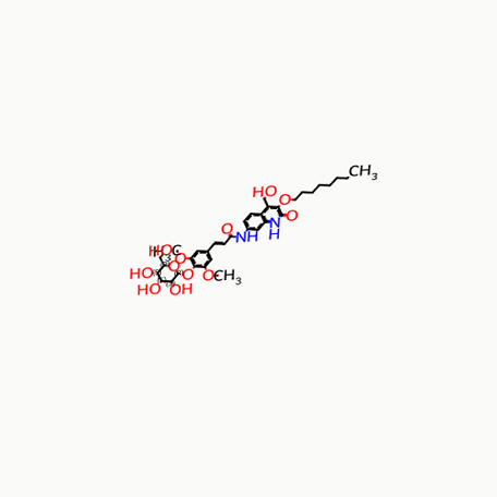 CCCCCCCCOc1c(CO)c2ccc(NC(=O)C=Cc3cc(OC)c(O[C@H]4O[C@H](CO)[C@@H](O)[C@H](O)[C@@H]4O)c(OC)c3)cc2[nH]c1=O